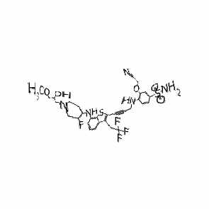 COCC(O)CN1CCC(Nc2cccc3c(CC(F)(F)F)c(C#CCNc4ccc(S(N)(=O)=O)cc4OCC#N)sc23)C(F)C1